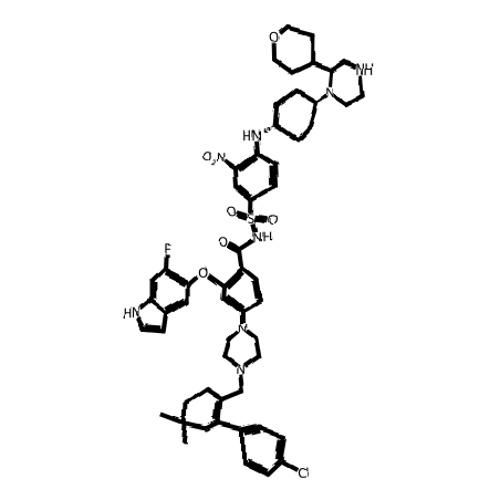 CC1(C)CCC(CN2CCN(c3ccc(C(=O)NS(=O)(=O)c4ccc(N[C@H]5CC[C@H](N6CCNCC6C6CCOCC6)CC5)c([N+](=O)[O-])c4)c(Oc4cc5cc[nH]c5cc4F)c3)CC2)=C(c2ccc(Cl)cc2)C1